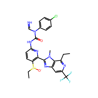 CCc1nc(C(F)(F)F)cc2nc(-c3nc(NC(=O)N(C=N)c4ccc(Cl)cc4)ccc3[S+]([O-])CC)n(C)c12